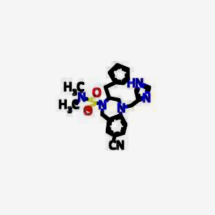 CN(C)S(=O)(=O)N1Cc2cc(C#N)ccc2N(Cc2c[nH]cn2)CC1Cc1ccccc1